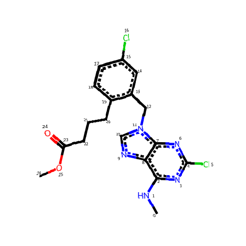 CNc1nc(Cl)nc2c1ncn2Cc1cc(Cl)ccc1CCCC(=O)OC